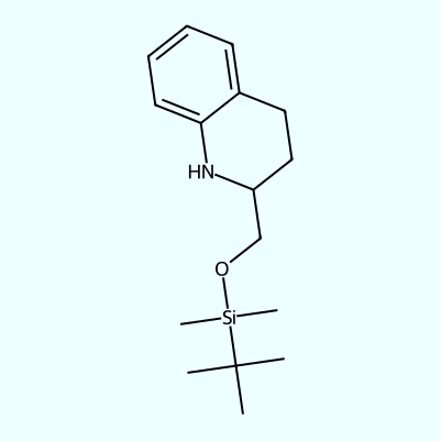 CC(C)(C)[Si](C)(C)OCC1CCc2ccccc2N1